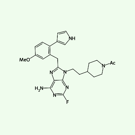 COc1ccc(-c2cc[nH]c2)c(Cc2nc3c(N)nc(F)nc3n2CCC2CCN(C(C)=O)CC2)c1